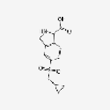 O=C(O)C1NCc2cc(S(=O)(=O)CC3CC3)ccc21